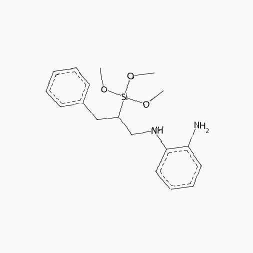 CO[Si](OC)(OC)C(CNc1ccccc1N)Cc1ccccc1